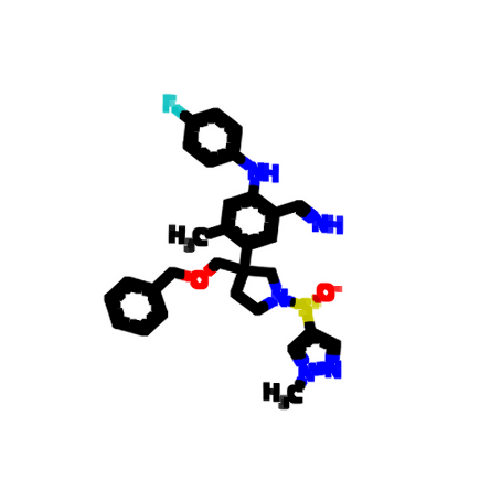 Cc1cc(Nc2ccc(F)cc2)c(C=N)cc1C1(COCc2ccccc2)CCN([S+]([O-])c2cnn(C)c2)C1